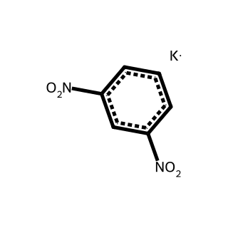 O=[N+]([O-])c1cccc([N+](=O)[O-])c1.[K]